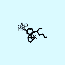 CCCCC(CC)CN1CC2CCC(C1)C2(OC)c1cccc(NS(C)(=O)=O)c1